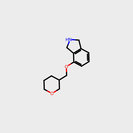 c1cc2c(c(OCC3CCCOC3)c1)CNC2